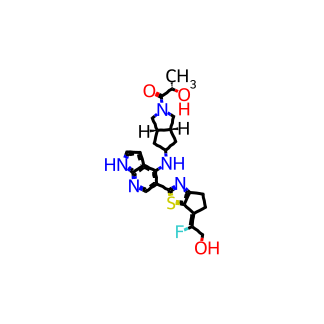 C[C@H](O)C(=O)N1C[C@H]2CC(Nc3c(-c4nc5c(s4)/C(=C(\F)CO)CC5)cnc4[nH]ccc34)C[C@H]2C1